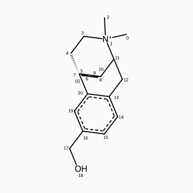 C[N+]1(C)CC[C@@]23CCCCC2C1Cc1ccc(CO)cc13